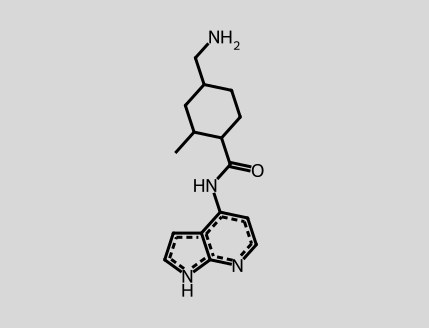 CC1CC(CN)CCC1C(=O)Nc1ccnc2[nH]ccc12